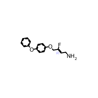 NC/C=C(\F)COc1ccc(Oc2ccccc2)cc1